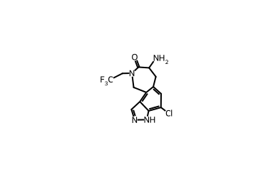 NC1Cc2cc(Cl)c3[nH]ncc3c2CN(CC(F)(F)F)C1=O